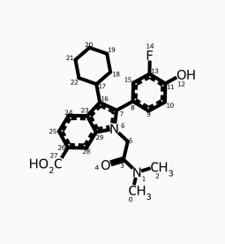 CN(C)C(=O)Cn1c(-c2ccc(O)c(F)c2)c(C2CCCCC2)c2ccc(C(=O)O)cc21